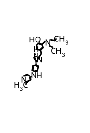 CCCN(CCC)Cc1cc(Cc2nc(-c3ccc(Nc4ccnc(C)c4)cc3)c[nH]2)ccc1O